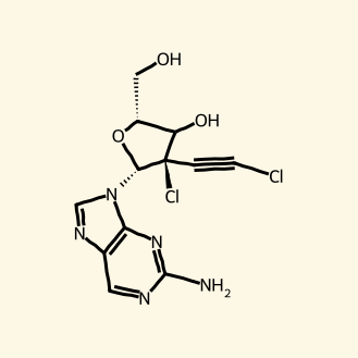 Nc1ncc2ncn([C@@H]3O[C@H](CO)C(O)[C@]3(Cl)C#CCl)c2n1